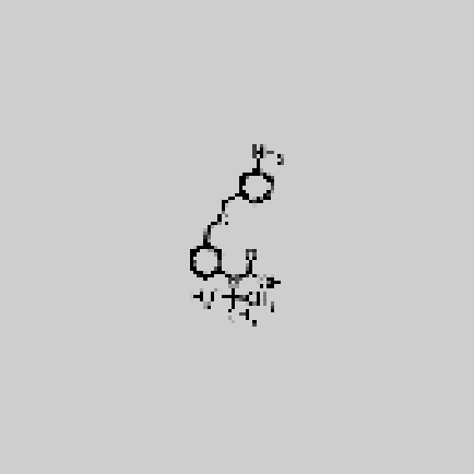 CC(C)(C)N(C(=O)O)c1cccc(COCc2cccc(N)c2)c1